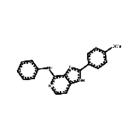 COc1ccc(-c2nc3c(Nc4ccccc4)nccc3[nH]2)cc1